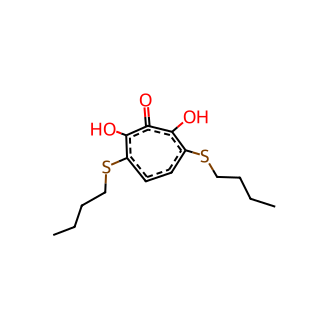 CCCCSc1ccc(SCCCC)c(O)c(=O)c1O